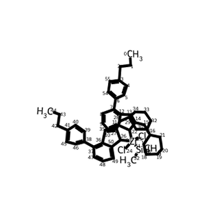 CCCc1ccc(-c2cccc3c2C=C(CC2CCCCC2)[CH]3[Zr]([Cl])([Cl])([CH]2C(CC3CCCCC3)=Cc3c(-c4ccc(CCC)cc4)cccc32)[SiH](C)C)cc1